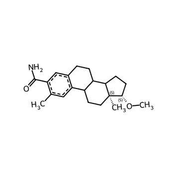 CO[C@H]1CCC2C3CCc4cc(C(N)=O)c(C)cc4C3CC[C@@]21C